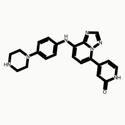 O=c1cc(-c2ccc(Nc3ccc(N4CCNCC4)cc3)c3ncnn23)cc[nH]1